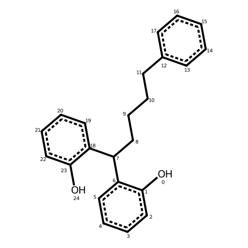 Oc1ccccc1C(CCCCc1ccccc1)c1ccccc1O